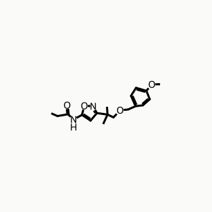 CCC(=O)Nc1cc(C(C)(C)COCc2ccc(OC)cc2)no1